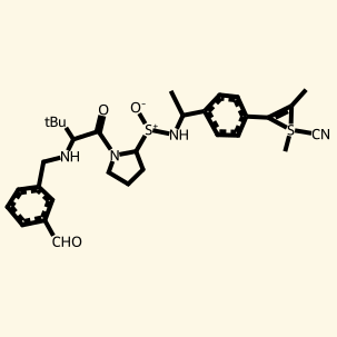 CC1=C(c2ccc(C(C)N[S+]([O-])C3CCCN3C(=O)C(NCc3cccc(C=O)c3)C(C)(C)C)cc2)S1(C)C#N